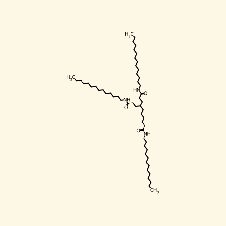 CCCCCCCCCCCCCCNC(=O)CCCCCC(CCC(=O)NCCCCCCCCCCCCCC)CCC(=O)NCCCCCCCCCCCCCC